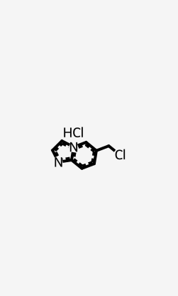 Cl.ClCc1ccc2nccn2c1